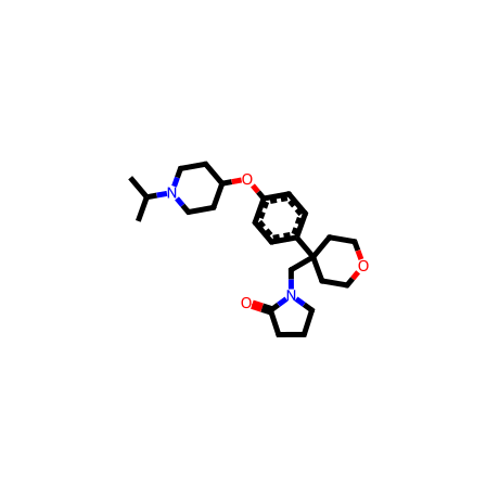 CC(C)N1CCC(Oc2ccc(C3(CN4CCCC4=O)CCOCC3)cc2)CC1